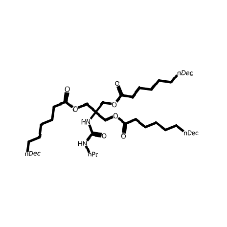 CCCCCCCCCCCCCCCC(=O)OCC(COC(=O)CCCCCCCCCCCCCCC)(COC(=O)CCCCCCCCCCCCCCC)NC(=O)NCCC